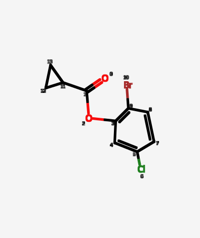 O=C(Oc1cc(Cl)ccc1Br)C1CC1